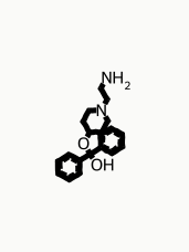 NCCN1CCC(OC(O)(c2ccccc2)c2ccccc2)CC1